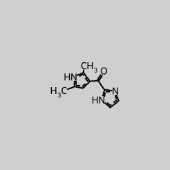 Cc1cc(C(=O)c2ncc[nH]2)c(C)[nH]1